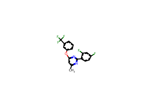 Cc1cc(Oc2cccc(C(F)(F)F)c2)nc(-c2ccc(F)cc2F)n1